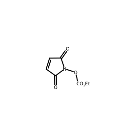 CCOC(=O)ON1C(=O)C=CC1=O